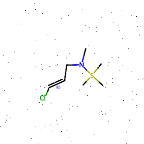 CN(C/C=C/Cl)S(C)(C)C